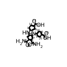 NC(=O)c1cc(Nc2ccc(C(=O)O)cc2)c(Nc2ccc(C(=O)O)cc2)cc1C(N)=O